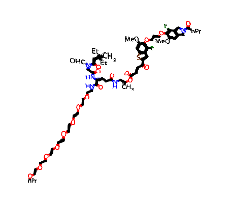 CCCOCCOCCOCCOCCOCCOCCOCCOCCNC(=O)/C(=C\CC(=O)NC[C@H](C)OC(=O)CCC(=O)c1cc2c(F)c(OCCCOc3c(OC)cc4c(c3F)CN(C(=O)CCC)C4)c(OC)cc2s1)NC(=O)CN(C=O)C(=O)CC(C)(CC)CC